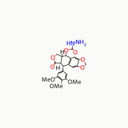 COc1cc([C@@H]2c3cc4c(cc3[C@H](OC(=O)NN)[C@H]3COC(=O)[C@H]23)OCO4)cc(OC)c1OC